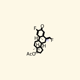 CC(=O)O[C@H]1CC[C@H]2[C@@H]3C/C(=C\F)C4=CC(=O)C(F)=C[C@]4(C)[C@H]3CC[C@]12C